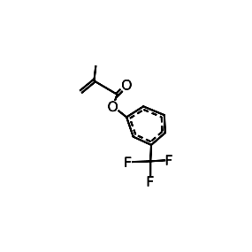 C=C(C)C(=O)Oc1cccc(C(F)(F)F)c1